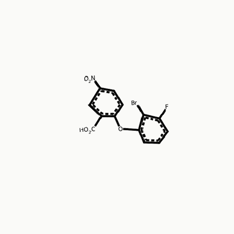 O=C(O)c1cc([N+](=O)[O-])ccc1Oc1cccc(F)c1Br